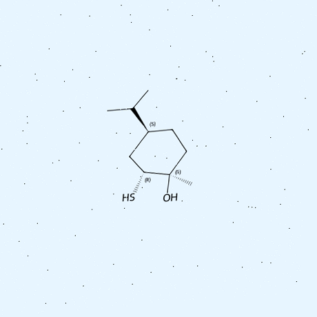 CC(C)[C@H]1CC[C@@](C)(O)[C@H](S)C1